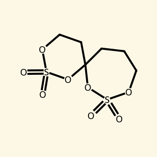 O=S1(=O)OCCCC2(CCOS(=O)(=O)O2)O1